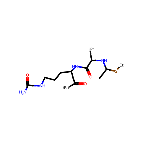 CCSC(C)NC(C(=O)NC(CCCNC(N)=O)C(=O)C(C)(C)C)C(C)C